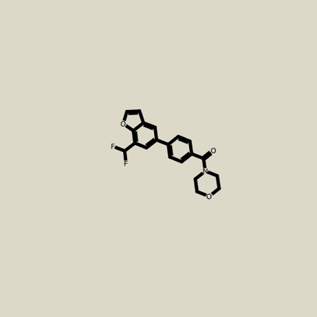 O=C(c1ccc(-c2cc(C(F)F)c3occc3c2)cc1)N1CCOCC1